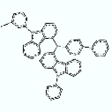 Fc1cccc(-n2c3ccccc3c3c(N(c4ccc(-c5ccccc5)cc4)c4cccc5c4c4ccccc4n5-c4ccccc4)cccc32)c1